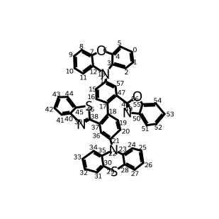 c1ccc2c(c1)Oc1ccccc1N2c1ccc(-c2ccc(N3c4ccccc4Sc4ccccc43)cc2-c2nc3ccccc3s2)c(-c2nc3ccccc3o2)c1